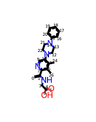 C=C(NCC(=O)O)c1ncc(N2CCN(c3ccccc3)CC2)c(C)c1C